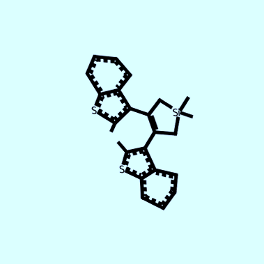 Cc1sc2ccccc2c1C1=C(c2c(C)sc3ccccc23)C[Si](C)(C)C1